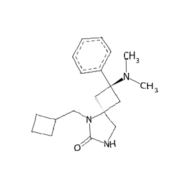 CN(C)[C@]1(c2ccccc2)C[C@@]2(CNC(=O)N2CC2CCC2)C1